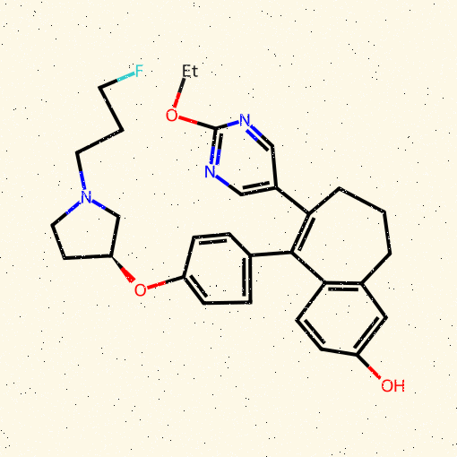 CCOc1ncc(C2=C(c3ccc(O[C@H]4CCN(CCCF)C4)cc3)c3ccc(O)cc3CCC2)cn1